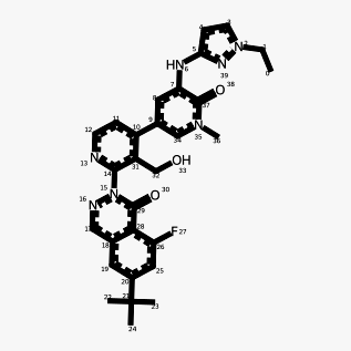 CCn1ccc(Nc2cc(-c3ccnc(-n4ncc5cc(C(C)(C)C)cc(F)c5c4=O)c3CO)cn(C)c2=O)n1